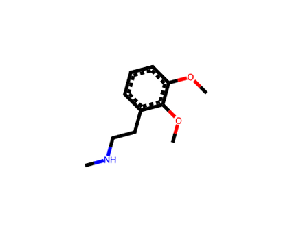 CNCCc1cccc(OC)c1OC